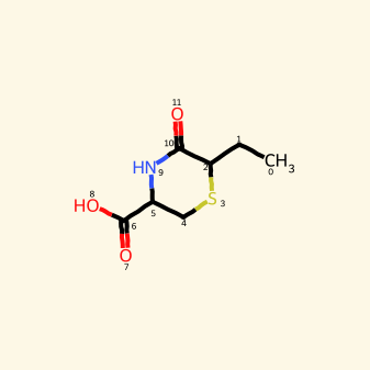 CCC1SCC(C(=O)O)NC1=O